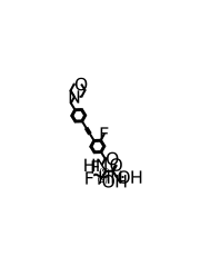 C[C@@](O)(C(F)F)[C@H](NC(=O)c1ccc(C#Cc2ccc(CN3CCOCC3)cc2)c(F)c1)C(=O)NO